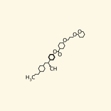 C#CC(CC1CCC(CCC)CC1)c1ccc(OC(=O)C2CCC(OCCCOC3CCCCO3)CC2)cc1